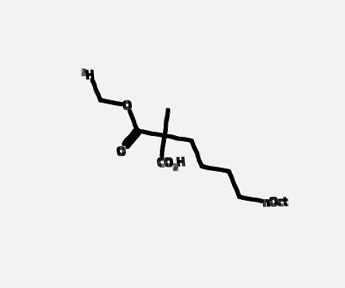 [2H]COC(=O)C(C)(CCCCCCCCCCCC)C(=O)O